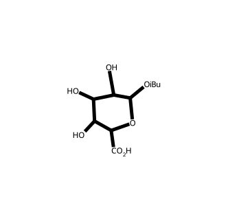 CC(C)COC1OC(C(=O)O)C(O)C(O)C1O